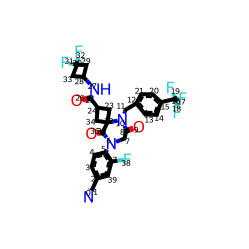 N#Cc1ccc(N2CC(=O)N(Cc3ccc(C(F)(F)F)cc3)C3(CC(C(=O)NC4CC(F)(F)C4)C3)C2=O)c(F)c1